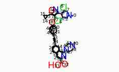 C=N/C=C(Cl)\C(=C(/C)Cl)c1noc(C2CC2)c1COC12CCC(C#Cc3ccc4cc(C(=O)O)nc(N5CCN(C)CC5)c4c3)(CC1)CC2